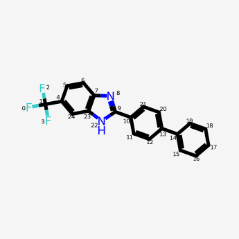 FC(F)(F)c1ccc2nc(-c3ccc(-c4ccccc4)cc3)[nH]c2c1